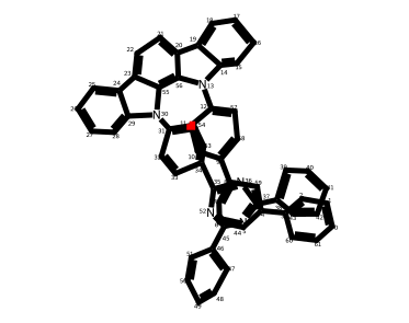 c1ccc(-c2cccc(-c3ccc(-n4c5ccccc5c5ccc6c7ccccc7n(-c7ccc(-c8nc(-c9ccccc9)nc(-c9ccccc9)n8)cc7)c6c54)cc3)c2)cc1